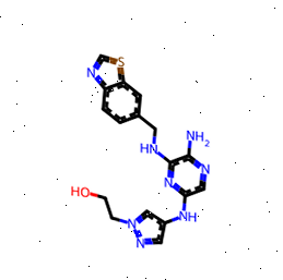 Nc1ncc(Nc2cnn(CCO)c2)nc1NCc1ccc2ncsc2c1